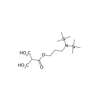 C[Si](C)(C)N(CCCOC(=O)C(C(=O)O)C(=O)O)[Si](C)(C)C